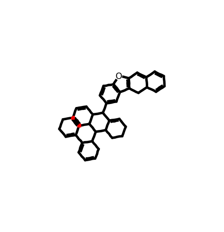 C1=CCC(C2C3CCCC=C3C(c3ccc4oc5c(c4c3)CC3C=CC=CC3=C5)C3C=CC=CC32)C(C2=CCCC=C2)=C1